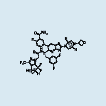 NC(=O)c1cc(-c2cc3sc(N4C[C@@H]5C[C@H]4CN5C4COC4)nc3nc2[C@H](Cc2cc(F)cc(F)c2)NC(=O)Cn2nc(C(F)(F)F)c3c2C(F)(F)[C@@H]2C[C@H]32)ccc1F